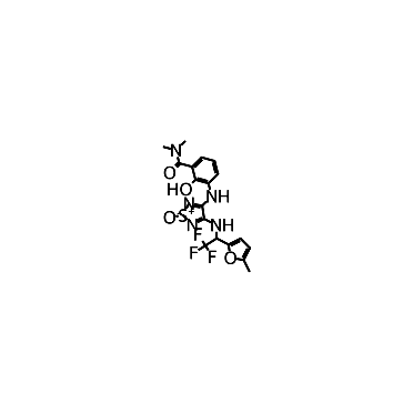 Cc1ccc(C(Nc2n[s+]([O-])nc2Nc2cccc(C(=O)N(C)C)c2O)C(F)(F)F)o1